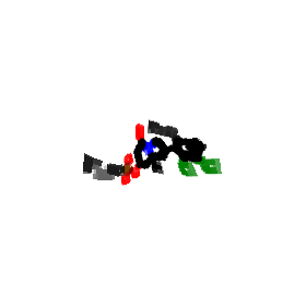 COc1ccc(Cl)c(Cl)c1[C@H]1C[C@H]2CC(OS(=O)(=O)C(F)(F)F)=CC(=O)N2C1